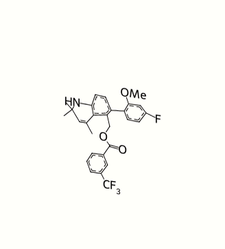 COc1cc(F)ccc1-c1ccc2c(c1COC(=O)c1cccc(C(F)(F)F)c1)C(C)=CC(C)(C)N2